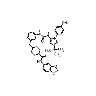 Cc1ccc(-n2nc(C(C)(C)C)cc2NC(=O)Nc2cccc(CC3CCN(C(=O)Nc4ccc5c(c4)OCO5)CC3)c2)cc1